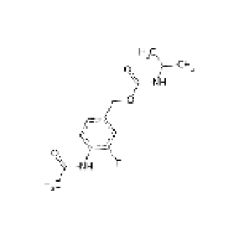 CC(=O)Nc1ccc(COC(=O)NC(C)C)cc1F